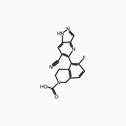 N#Cc1cc2[nH]ncc2nc1-c1c(F)ccc2c1CCN(C(=O)O)C2